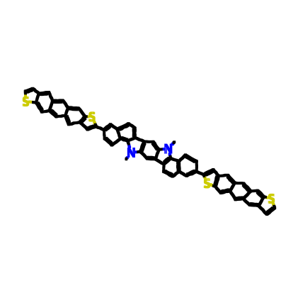 Cn1c2cc3c4ccc5cc(-c6cc7cc8cc9cc%10sccc%10cc9cc8cc7s6)ccc5c4n(C)c3cc2c2ccc3cc(-c4cc5cc6cc7cc8sccc8cc7cc6cc5s4)ccc3c21